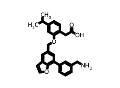 CC(C)c1ccc(CC(=O)O)c(OCc2cc(-c3cccc(CN)c3)c3occc3c2)c1